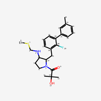 CCSCNC1CCN(C(=O)C(C)(C)O)C1Cc1cccc(-c2cccc(C)c2)c1F